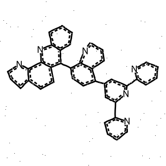 c1ccc(-c2cc(-c3ccc(-c4c5ccccc5nc5c4ccc4cccnc45)c4ncccc34)cc(-c3ccccn3)n2)nc1